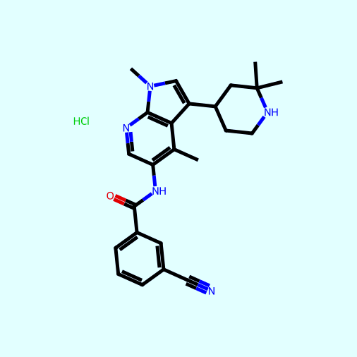 Cc1c(NC(=O)c2cccc(C#N)c2)cnc2c1c(C1CCNC(C)(C)C1)cn2C.Cl